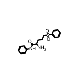 NC(CCCS(=O)(=O)c1ccccc1)C(=O)Nc1ccccc1